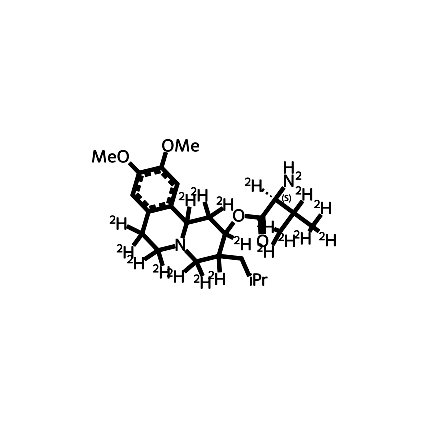 [2H]C([2H])([2H])C([2H])(C([2H])([2H])[2H])[C@]([2H])(N)C(=O)OC1([2H])C([2H])([2H])C2([2H])c3cc(OC)c(OC)cc3C([2H])([2H])C([2H])([2H])N2C([2H])([2H])C1([2H])CC(C)C